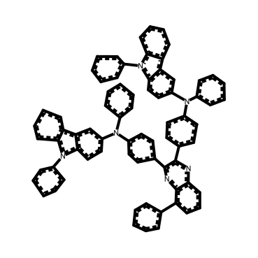 c1ccc(-c2cccc3nc(-c4ccc(N(c5ccccc5)c5ccc6c(c5)c5ccccc5n6-c5ccccc5)cc4)c(-c4ccc(N(c5ccccc5)c5ccc6c(c5)c5ccccc5n6-c5ccccc5)cc4)nc23)cc1